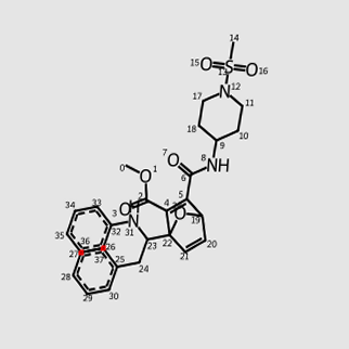 COC(=O)C1=C(C(=O)NC2CCN(S(C)(=O)=O)CC2)C2C=CC1(C(Cc1ccccc1)Nc1ccccc1)O2